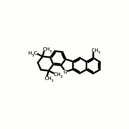 Cc1cccc2cc3oc4c5c(ccc4c3cc12)C(C)(C)CCC5(C)C